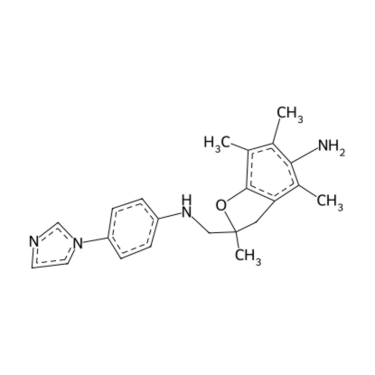 Cc1c(C)c2c(c(C)c1N)CC(C)(CNc1ccc(-n3ccnc3)cc1)O2